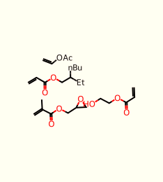 C=C(C)C(=O)OCC1CO1.C=CC(=O)OCC(CC)CCCC.C=CC(=O)OCCO.C=COC(C)=O